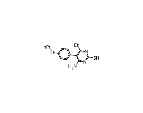 CCCOc1ccc(-c2c(N)nc(S)nc2CC)cc1